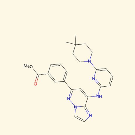 COC(=O)c1cccc(-c2cc(Nc3cccc(N4CCC(C)(C)CC4)n3)c3nccn3n2)c1